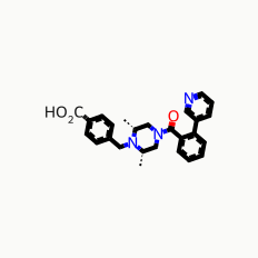 C[C@@H]1CN(C(=O)c2ccccc2-c2cccnc2)C[C@H](C)N1Cc1ccc(C(=O)O)cc1